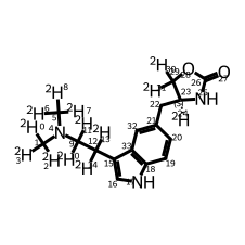 [2H]C([2H])([2H])N(C([2H])([2H])[2H])C([2H])([2H])C([2H])([2H])c1c[nH]c2ccc(C[C@]3([2H])NC(=O)OC3([2H])[2H])cc12